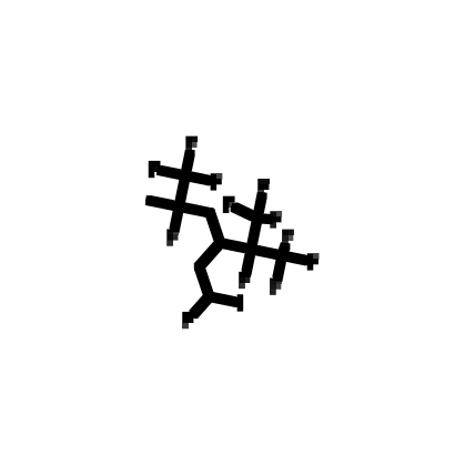 CC(F)(CC(CC(F)I)C(F)(C(F)(F)F)C(F)(F)F)C(F)(F)F